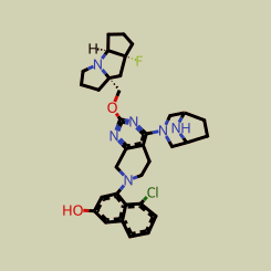 Oc1cc(N2CCc3c(nc(OC[C@]45CCCN4[C@H]4CCC[C@@]4(F)C5)nc3N3CC4CCC(C3)N4)C2)c2c(Cl)cccc2c1